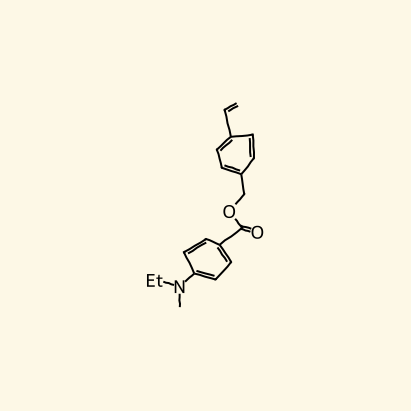 C=Cc1ccc(COC(=O)c2ccc(N(C)CC)cc2)cc1